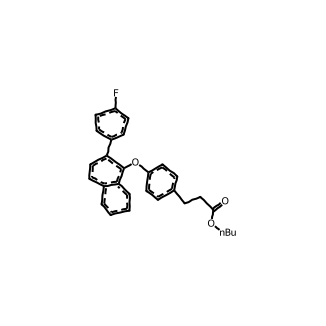 CCCCOC(=O)CCc1ccc(Oc2c(-c3ccc(F)cc3)ccc3ccccc23)cc1